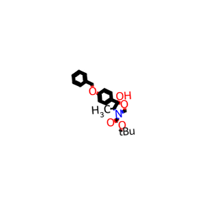 C[C@@H]1N(C(=O)OC(C)(C)C)COC1(O)c1ccc(OCc2ccccc2)cc1